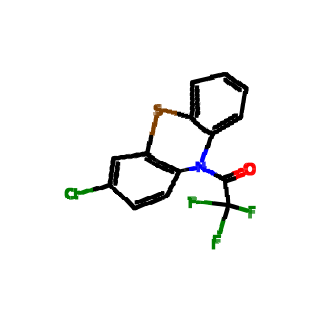 O=C(N1c2ccccc2Sc2cc(Cl)ccc21)C(F)(F)F